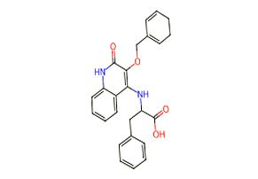 O=C(O)C(Cc1ccccc1)Nc1c(OCC2=CCCC=C2)c(=O)[nH]c2ccccc12